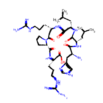 CC(C)C[C@H](NC(=O)[C@H](CC(C)C)NC(=O)[C@@H](N)Cc1c[nH]cn1)C(=O)N[C@@H](CCCNC(=N)N)C(=O)N1CCC[C@H]1C(=O)N[C@@H](CCCNC(=N)N)C(=O)O